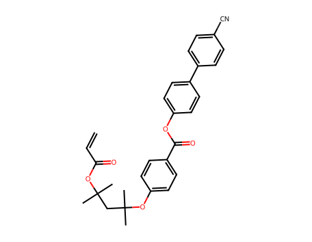 C=CC(=O)OC(C)(C)CC(C)(C)Oc1ccc(C(=O)Oc2ccc(-c3ccc(C#N)cc3)cc2)cc1